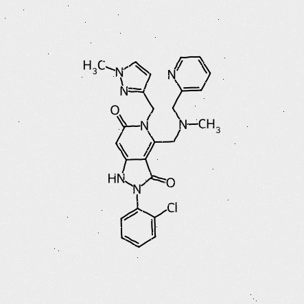 CN(Cc1ccccn1)Cc1c2c(=O)n(-c3ccccc3Cl)[nH]c2cc(=O)n1Cc1ccn(C)n1